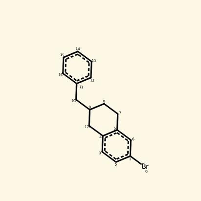 Brc1ccc2c(c1)CCC(Cc1ccccc1)[CH]2